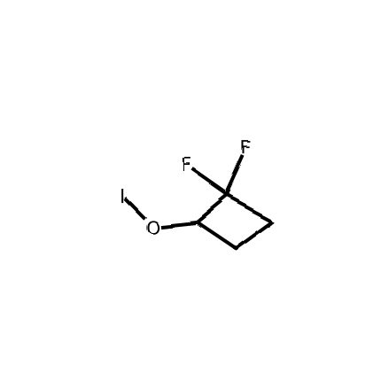 FC1(F)CCC1OI